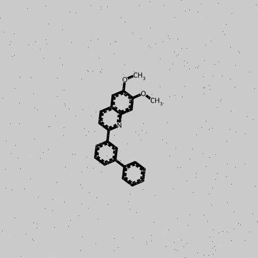 COc1cc2ccc(-c3cccc(-c4ccccc4)c3)nc2cc1OC